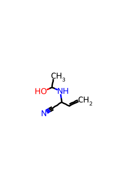 C=CC(C#N)NC(C)O